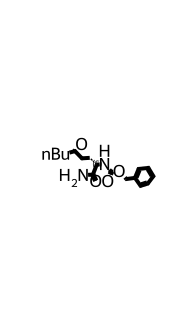 CCCCC(=O)CC[C@H](NC(=O)OCc1ccccc1)C(N)=O